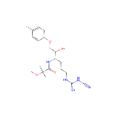 COC(C)(C)C(=O)NC(CCCNC(=N)NC#N)C(O)COc1ccc(F)cc1